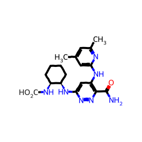 Cc1cc(C)nc(Nc2cc(N[C@@H]3CCCC[C@@H]3NC(=O)O)nnc2C(N)=O)c1